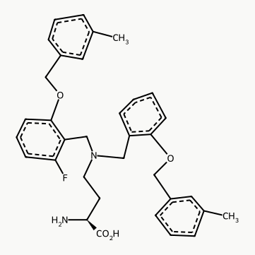 Cc1cccc(COc2ccccc2CN(CC[C@H](N)C(=O)O)Cc2c(F)cccc2OCc2cccc(C)c2)c1